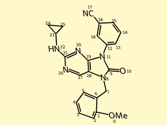 COc1ccccc1Cn1c(=O)n(-c2cccc(C#N)c2)c2nc(NC3CC3)ncc21